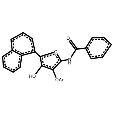 CC(=O)Oc1c(NC(=O)c2ccccc2)oc(-c2cccc3ccccc23)c1O